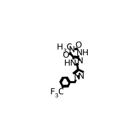 Cn1c(=O)[nH]c2nc(-c3cnn(Cc4cccc(C(F)(F)F)c4)c3)[nH]c2c1=O